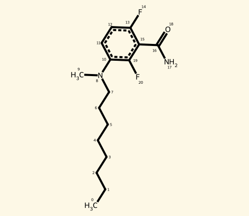 CCCCCCCCN(C)c1ccc(F)c(C(N)=O)c1F